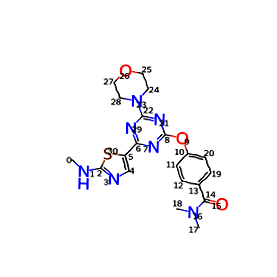 CNc1ncc(-c2nc(Oc3ccc(C(=O)N(C)C)cc3)nc(N3CCOCC3)n2)s1